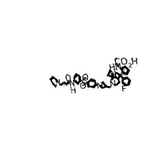 O=C(O)N[C@H]1CCC[C@@H]1C(CN1CCC1)(c1cccc(F)c1)C1CCN(CC2CN(c3ccc(S(=O)(=O)c4cccc(NC(=O)/C=C/CN5CCCCC5)c4)cc3)C2)CC1